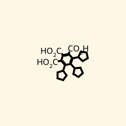 O=C(O)c1c(C(=O)O)c(C2CCCC2)c(C2CCCC2)c(C2CCCC2)c1C(=O)O